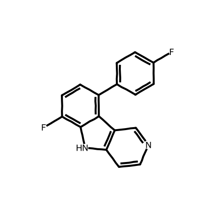 Fc1ccc(-c2ccc(F)c3[nH]c4ccncc4c23)cc1